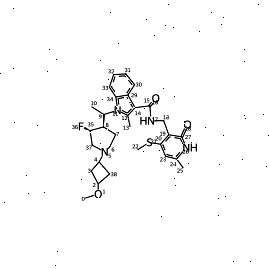 COC1CC(N2CC[C@H](C(C)n3c(C)c(C(=O)NCc4c(SC)cc(C)[nH]c4=O)c4ccccc43)[C@H](F)C2)C1